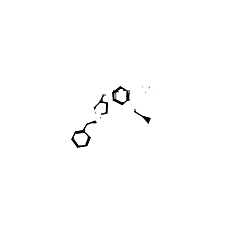 COc1ccc([C@@H]2CN(C(=O)Cc3ccccc3)C[C@@]2(C)[C@@H](C)O)cc1OCC1CC1